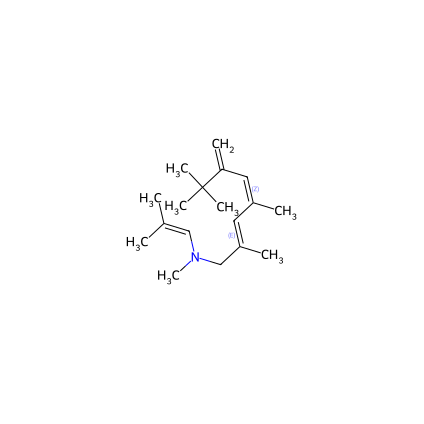 C=C(/C=C(C)\C=C(/C)CN(C)C=C(C)C)C(C)(C)C